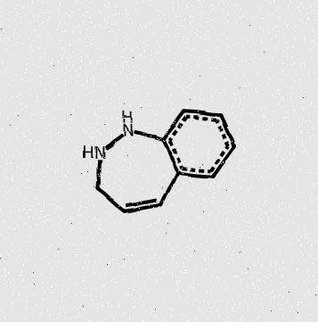 C1=Cc2ccccc2NNC1